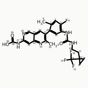 Cc1cc(F)c(NC(=O)NCCC2(C(F)(F)F)CC2)cc1-c1cc2cnc(NC(=O)O)cc2nc1C